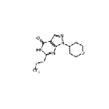 O=c1[nH]c(CCC(F)(F)F)nc2c1cnn2C1CCOCC1